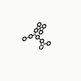 C1=CC2c3cc(-c4ccc(N(c5ccc(-c6ccccc6)cc5)c5ccc6c(c5)C5(c7ccccc7-c7ccccc75)c5ccccc5-6)cc4)ccc3N(c3ccccc3)C2C=C1